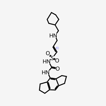 O=C(Nc1c2c(cc3c1CCC3)CCC2)NS(=O)(=O)/C=C/CNCC1CCCCC1